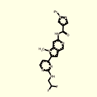 CC(C)n1cc(C(=O)Nc2cc3c(cn2)cc(-c2ccnc(NCC(F)F)n2)n3C)cn1